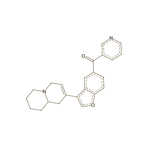 O=C(c1cccnc1)c1ccc2occ(C3=CCN4CCCCC4C3)c2c1